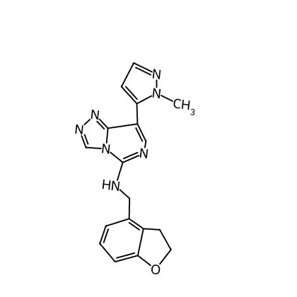 Cn1nccc1-c1cnc(NCc2cccc3c2CCO3)n2cnnc12